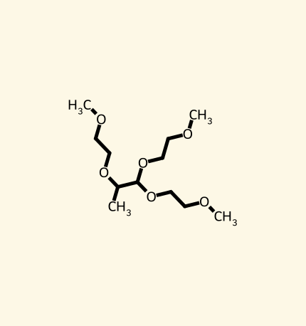 COCCOC(C)C(OCCOC)OCCOC